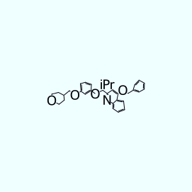 CC(C)c1c(COc2cccc(OCC3CCOCC3)c2)nc2ccccc2c1OCc1ccccc1